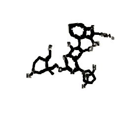 CCN1CC/C(=C\F)[C@](C)(COc2nc(N3C[C@H]4CC[C@@H](C3)N4)c3cc(Cl)c(-c4cccc5sc(N)c(C#N)c45)c(F)c3n2)C1